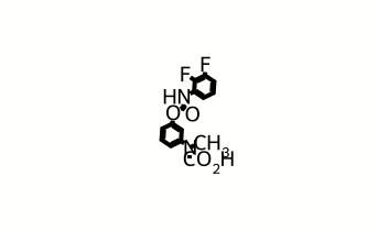 CN(C(=O)O)c1cccc(OC(=O)Nc2cccc(F)c2F)c1